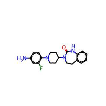 Nc1ccc(N2CCC(N3CCc4ccccc4NC3=O)CC2)c(F)c1